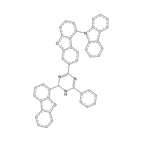 c1ccc(C2=NC(c3ccc4c(c3)oc3cccc(-n5c6ccccc6c6ccccc65)c34)=NC(c3cccc4c3oc3ccccc34)N2)cc1